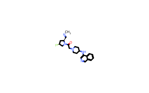 CN=C[C@@H]1C[C@H](F)CN1C(=O)CN1CCC(Nc2cncc3ccccc23)CC1